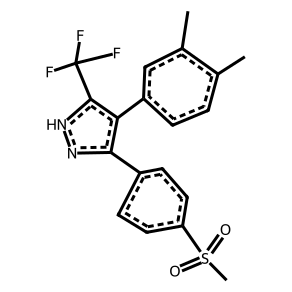 Cc1ccc(-c2c(-c3ccc(S(C)(=O)=O)cc3)n[nH]c2C(F)(F)F)cc1C